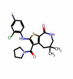 CC1(C)CNC(=O)c2sc(Nc3ccc(I)cc3Cl)c(C(=O)N3CCCC3)c2C1